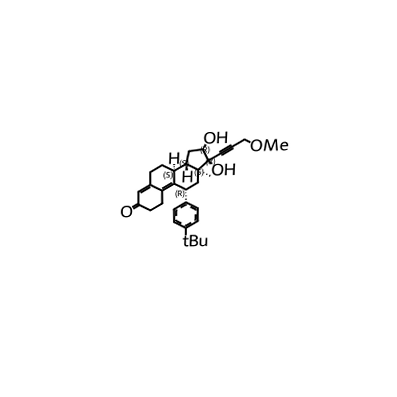 COCC#C[C@@]1(O)[C@H](O)C[C@H]2[C@@H]3CCC4=CC(=O)CCC4=C3[C@@H](c3ccc(C(C)(C)C)cc3)C[C@@]21C